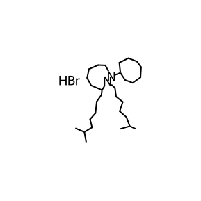 Br.CC(C)CCCCCC1CCCCCN(C2CCCCCCC2)N1CCCCCC(C)C